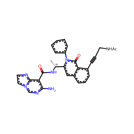 CC(=O)NCC#Cc1cccc2cc([C@@H](C)NC(=O)c3c(N)ncn4ccnc34)n(-c3ccccc3)c(=O)c12